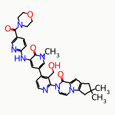 Cn1cc(-c2ccnc(-n3ccn4c5c(cc4c3=O)CC(C)(C)C5)c2CO)cc(Nc2ccc(C(=O)N3CCOCC3)cn2)c1=O